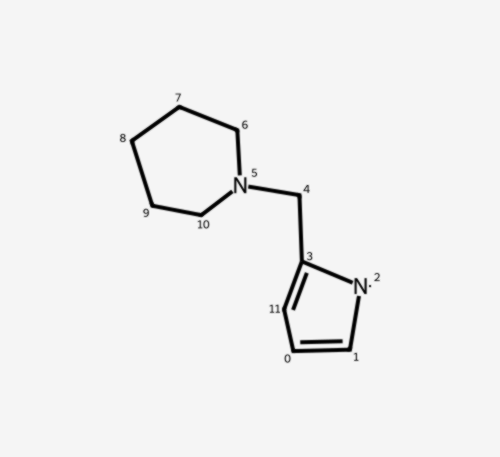 C1=C[N]C(CN2CCCCC2)=C1